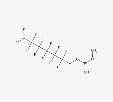 COP(O)OCC(F)(F)C(F)(F)C(F)(F)C(F)(F)C(F)(F)C(F)F